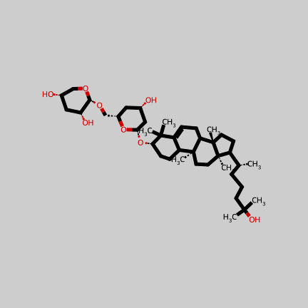 C[C@H](CCCC(C)(C)O)C1CC[C@@]2(C)C3CC=C4C(CC[C@H](O[C@H]5C[C@@H](O)C[C@@H](CO[C@H]6OC[C@@H](O)C[C@H]6O)O5)C4(C)C)[C@]3(C)CC[C@]12C